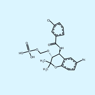 CC(=O)c1ccc2c(c1)[C@H](NC(=O)c1cccc(Cl)c1)[C@@H](OCOP(=O)(O)O)C(C)(C)O2